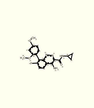 COc1ccc(-c2c(F)ccc3c(N)c(C(=O)NC4CC4)nnc23)c(OC)c1